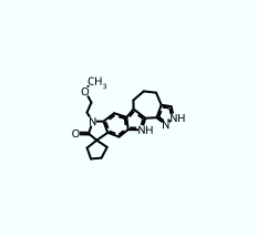 COCCN1C(=O)C2(CCCC2)c2cc3[nH]c4c(c3cc21)CCCc1c[nH]nc1-4